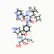 CC[C@](O)(CO)NC(=O)C1(c2cccc(NC(=O)[C@@H](NC(=O)c3ccnn3C)C(C3CCC3)C3(C)CC3)c2)CCNC1